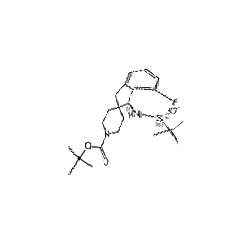 CC(C)(C)OC(=O)N1CCC2(CC1)Cc1cccc(F)c1[C@H]2N[S@+]([O-])C(C)(C)C